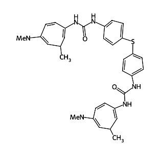 CNC1=CC(C)C=C(NC(=O)Nc2ccc(Sc3ccc(NC(=O)NC4=CC(C)C=C(NC)C=C4)cc3)cc2)C=C1